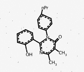 CCCc1ccc(-n2c(-c3ccccc3O)nc(C)c(C)c2=O)cc1